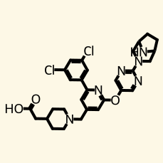 O=C(O)CC1CCN(Cc2cc(Oc3cnc(N4CC5CCC(C4)N5)nc3)nc(-c3cc(Cl)cc(Cl)c3)c2)CC1